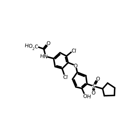 O=C(O)C(=O)Nc1cc(Cl)c(Oc2ccc(O)c(S(=O)(=O)C3CCCC3)c2)c(Cl)c1